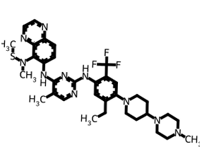 CCc1cc(Nc2ncc(C)c(Nc3ccc4nccnc4c3N(C)SC)n2)c(C(F)(F)F)cc1N1CCC(N2CCN(C)CC2)CC1